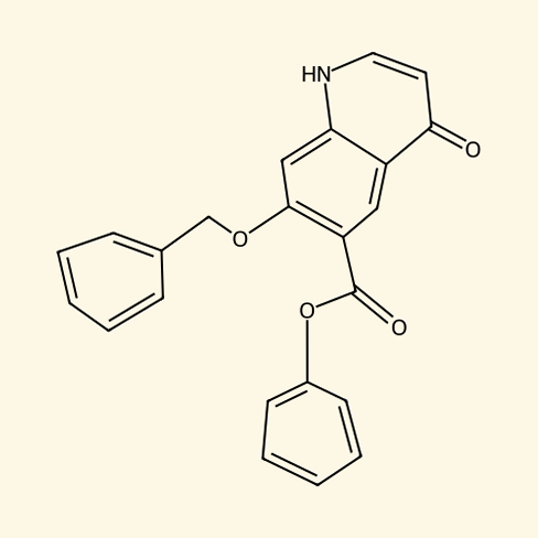 O=C(Oc1ccccc1)c1cc2c(=O)cc[nH]c2cc1OCc1ccccc1